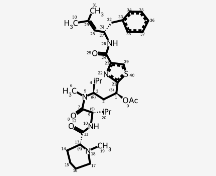 CC(=O)O[C@@H](C[C@H](C(C)C)N(C)C(=O)[C@@H](NC(=O)[C@H]1CCCCN1C)C(C)C)c1nc(C(=O)N[C@H](C=C(C)C)Cc2ccccc2)cs1